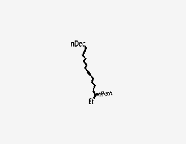 [CH2]CCCCCCCCCCCCCCCC#CCCCCC(CC)CCCC[CH2]